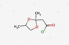 CC1COC(C)(CC(=O)Cl)O1